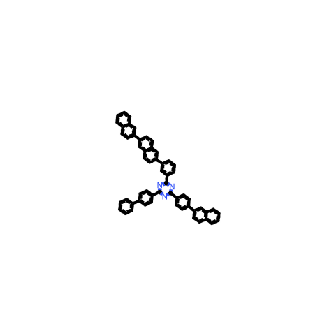 c1ccc(-c2ccc(-c3nc(-c4ccc(-c5ccc6ccccc6c5)cc4)nc(-c4cccc(-c5ccc6cc(-c7ccc8ccccc8c7)ccc6c5)c4)n3)cc2)cc1